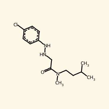 CC(C)CCN(C)C(=O)CNNc1ccc(Cl)cc1